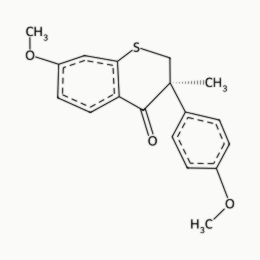 COc1ccc([C@]2(C)CSc3cc(OC)ccc3C2=O)cc1